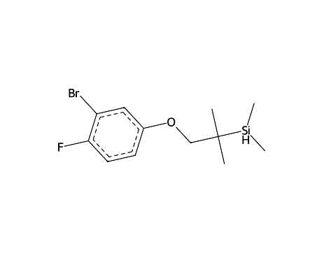 C[SiH](C)C(C)(C)COc1ccc(F)c(Br)c1